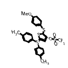 COc1ccc(Sc2ccc([S+](c3ccc(C)cc3)c3ccc(C)cc3)s2)cc1.O=S(=O)([O-])C(F)(F)F